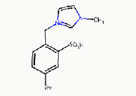 CC(C)c1ccc(C[n+]2ccn(C)c2)c(S(=O)(=O)O)c1